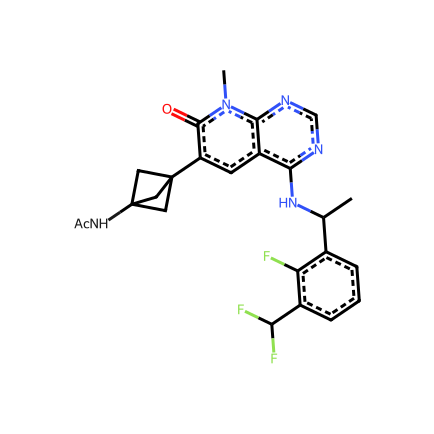 CC(=O)NC12CC(c3cc4c(NC(C)c5cccc(C(F)F)c5F)ncnc4n(C)c3=O)(C1)C2